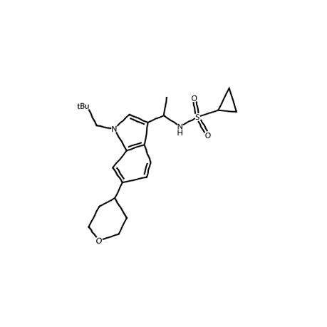 CC(NS(=O)(=O)C1CC1)c1cn(CC(C)(C)C)c2cc(C3CCOCC3)ccc12